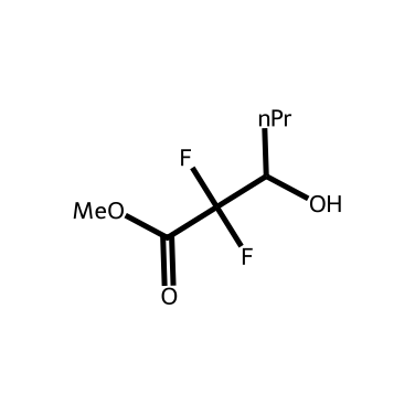 CCCC(O)C(F)(F)C(=O)OC